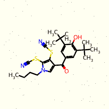 CCCCn1cc(C(=O)c2cc(C(C)(C)C)c(O)c(C(C)(C)C)c2)c(SC#N)c1SC#N